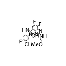 COCCNc1nc2c(F)c(F)cc(C(=N)N(O)c3ccc(F)c(Cl)c3)c2[nH]1